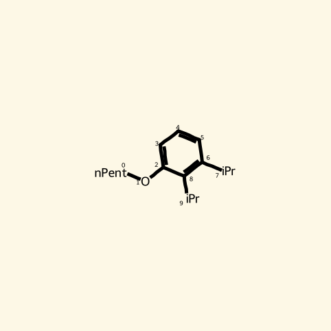 CCCCCOc1cccc(C(C)C)c1C(C)C